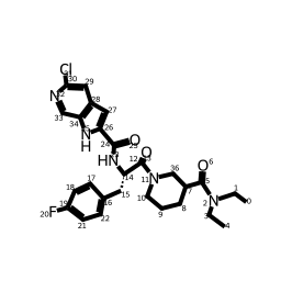 CCN(CC)C(=O)C1CCCN(C(=O)[C@H](Cc2ccc(F)cc2)NC(=O)c2cc3cc(Cl)ncc3[nH]2)C1